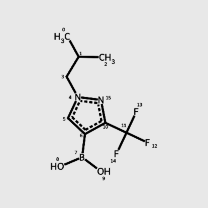 CC(C)Cn1cc(B(O)O)c(C(F)(F)F)n1